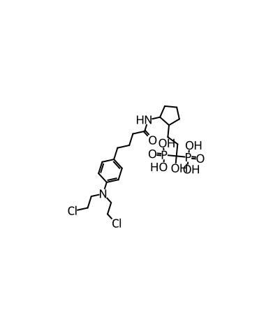 O=C(CCCc1ccc(N(CCCl)CCCl)cc1)NC1CCCC1CCC(O)(P(=O)(O)O)P(=O)(O)O